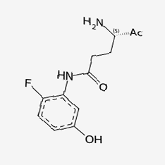 CC(=O)[C@@H](N)CCC(=O)Nc1cc(O)ccc1F